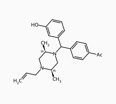 C=CCN1C[C@@H](C)N(C(c2ccc(C(C)=O)cc2)c2cccc(O)c2)C[C@H]1C